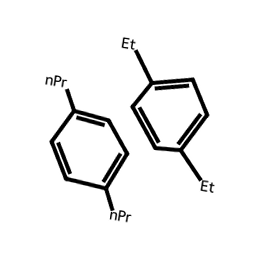 CCCc1ccc(CCC)cc1.CCc1ccc(CC)cc1